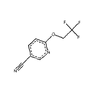 N#Cc1ccc(OCC(F)(F)F)nc1